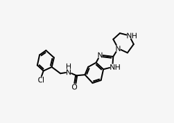 O=C(NCc1ccccc1Cl)c1ccc2[nH]c(N3CCNCC3)nc2c1